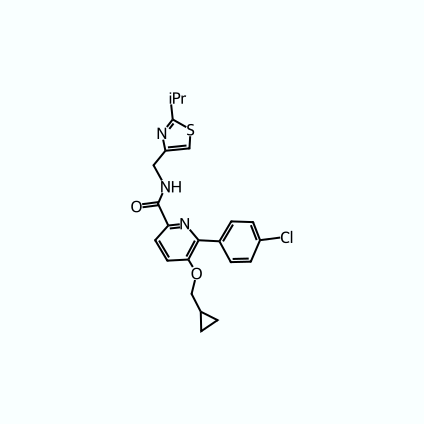 CC(C)c1nc(CNC(=O)c2ccc(OCC3CC3)c(-c3ccc(Cl)cc3)n2)cs1